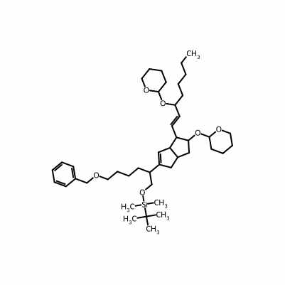 CCCCCC(C=CC1C(OC2CCCCO2)CC2CC(C(CCCCOCc3ccccc3)CO[Si](C)(C)C(C)(C)C)=CC21)OC1CCCCO1